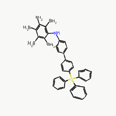 Bc1c(B)c(B)c(Nc2ccc(-c3ccc(S(c4ccccc4)(c4ccccc4)c4ccccc4)cc3)cc2)c(B)c1B